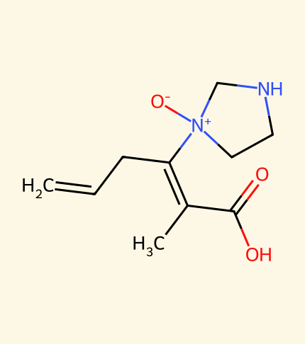 C=CCC(=C(C)C(=O)O)[N+]1([O-])CCNC1